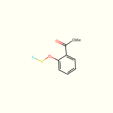 COC(=O)c1ccccc1OSF